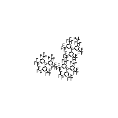 FC(F)(F)c1cc(P(c2cc(C(F)(F)F)cc(C(F)(F)F)c2)c2cc(C(F)(F)F)cc(C(F)(F)F)c2)cc(C(F)(F)F)c1.FC(F)(F)c1cc(P(c2cc(C(F)(F)F)cc(C(F)(F)F)c2)c2cc(C(F)(F)F)cc(C(F)(F)F)c2)cc(C(F)(F)F)c1.FC(F)(F)c1cc(P(c2cc(C(F)(F)F)cc(C(F)(F)F)c2)c2cc(C(F)(F)F)cc(C(F)(F)F)c2)cc(C(F)(F)F)c1.[Pd]